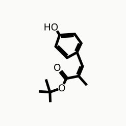 CC(=Cc1ccc(O)cc1)C(=O)OC(C)(C)C